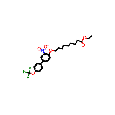 CCOC(=O)CCCCCCCCOc1ccc(-c2ccc(OC(F)(F)F)cc2)cc1[N+](=O)[O-]